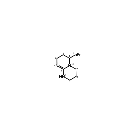 CCCC1CCN=C2NCCCN21